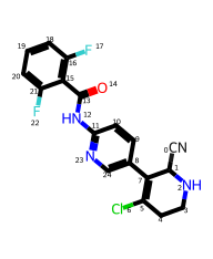 N#CC1NCCC(Cl)=C1c1ccc(NC(=O)c2c(F)cccc2F)nc1